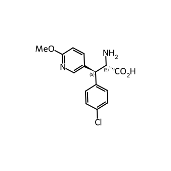 COc1ccc([C@H](c2ccc(Cl)cc2)[C@H](N)C(=O)O)cn1